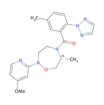 COc1ccnc(N2CCN(C(=O)c3cc(C)ccc3-n3nccn3)[C@H](C)CO2)c1